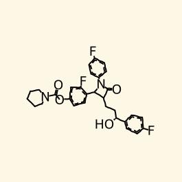 O=C(Oc1ccc(C2C(CC[C@H](O)c3ccc(F)cc3)C(=O)N2c2ccc(F)cc2)c(F)c1)N1CCCCC1